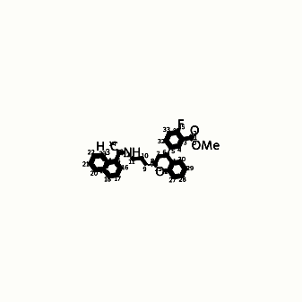 COC(=O)c1cc([C@H]2C[C@@H](CCCN[C@H](C)c3cccc4ccccc34)Oc3ccccc32)ccc1F